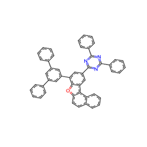 c1ccc(-c2cc(-c3ccccc3)cc(-c3cc(-c4nc(-c5ccccc5)nc(-c5ccccc5)n4)cc4c3oc3ccc5ccccc5c34)c2)cc1